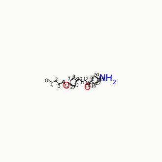 CCCCCOc1ccc(C=CCC(=O)c2ccc(N)cc2)cc1